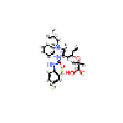 C=C/C(=C\C(NC(=O)Nc1ccc(F)cc1F)=C(/C)N(CC(C)C)C1CCCCC1)OC(C)(C)C(=O)O